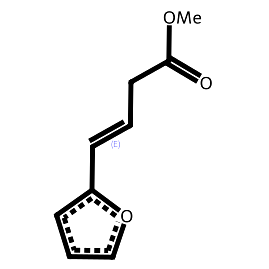 COC(=O)C/C=C/c1ccco1